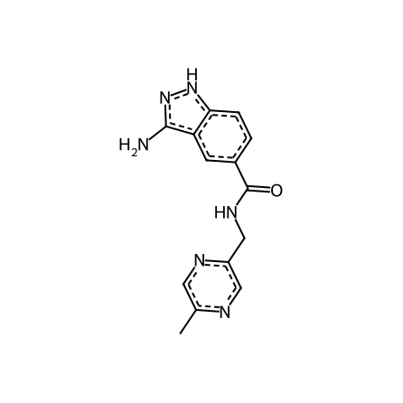 Cc1cnc(CNC(=O)c2ccc3[nH]nc(N)c3c2)cn1